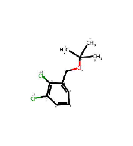 CC(C)(C)OCc1cccc(Cl)c1Cl